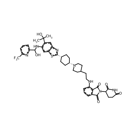 CC(C)(O)c1cc2nc([C@H]3CC[C@@H](N4CCC(CCNc5cccc6c5C(=O)N(C5CCC(=O)NC5=O)C6=O)CC4)CC3)sc2cc1NC(O)c1cccc(C(F)(F)F)n1